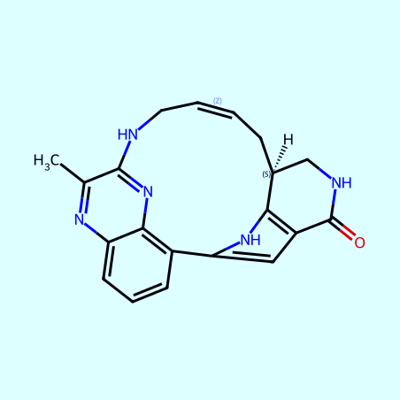 Cc1nc2cccc3c2nc1NC/C=C\C[C@H]1CNC(=O)c2cc-3[nH]c21